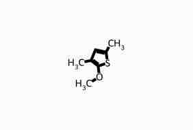 COc1sc(C)cc1C